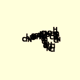 CN1Cc2c(Cl)cc(Cl)cc2[C@H](c2cccc(S(=O)(=O)NCCOCCOCCN(C)C(=O)CCC(CCC(=O)N(C)CCOCCOCCNS(=O)(=O)c3cccc([C@@H]4CN(C)Cc5c(Cl)cc(I)cc54)c3)(CCC(=O)N(C)CCOCCOCCN[SH](C)(=O)c3cccc([C@@H]4CN(C)Cc5c(Cl)cc(Cl)cc54)c3)N(C)C)c2)C1